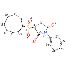 O=C1CC(S(=O)(=O)C2CCCCCCC2)C(=O)N1c1ccccc1